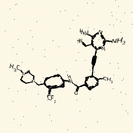 CNc1nc(N)nc(C#Cc2cc(C(=O)Nc3ccc(CN4CCN(C)CC4)c(C(F)(F)F)c3)ccc2C)c1C=N